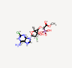 COC(=O)[C@@H](OC1[C@H]2O[C@@H](n3cnc4c(N)nc(Cl)nc43)[C@@H](F)[C@@]12O)P(=O)(O)O